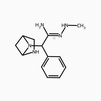 CN/N=C(\N)C(c1ccccc1)N1C2CNC1C2